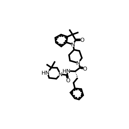 CC1(C)CN(C(=O)N[C@@H](CCc2ccccc2)C(=O)N2CCC(N3C(=O)C(C)(C)c4ccccc43)CC2)CCN1